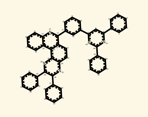 c1ccc(-c2cc(-c3cccc(-c4nc5ccccc5c5c4ccc4nc(-c6ccccc6)c(-c6ccccc6)nc45)c3)nc(-c3ccccc3)n2)cc1